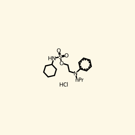 CCCN(CCOS(=O)(=O)NC1CCCCC1)c1ccccc1.Cl